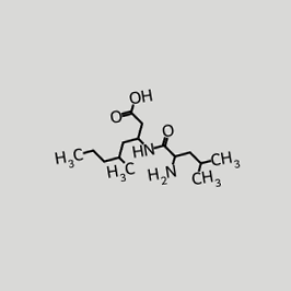 CCCC(C)CC(CC(=O)O)NC(=O)C(N)CC(C)C